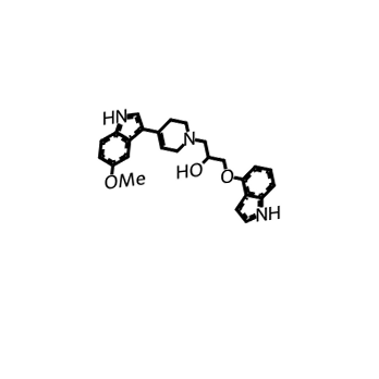 COc1ccc2[nH]cc(C3=CCN(CC(O)COc4cccc5[nH]ccc45)CC3)c2c1